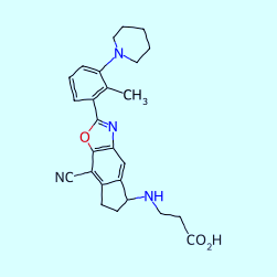 Cc1c(-c2nc3cc4c(c(C#N)c3o2)CCC4NCCC(=O)O)cccc1N1CCCCC1